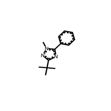 Cn1nc(C(C)(C)C)nc1-c1ccccc1